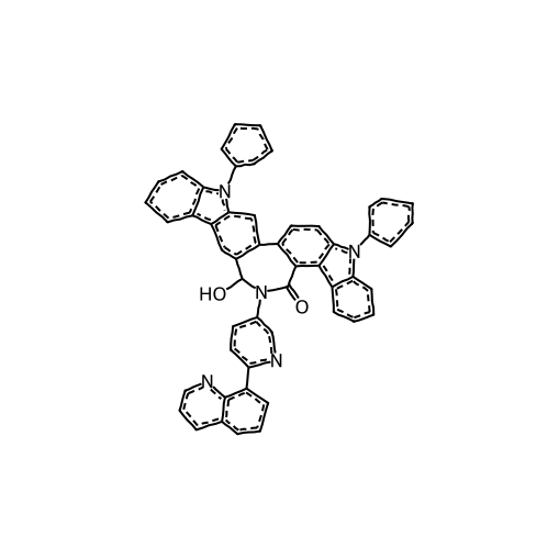 O=C1c2c(ccc3c2c2ccccc2n3-c2ccccc2)-c2cc3c(cc2C(O)N1c1ccc(-c2cccc4cccnc24)nc1)c1ccccc1n3-c1ccccc1